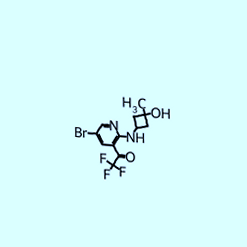 CC1(O)CC(Nc2ncc(Br)cc2C(=O)C(F)(F)F)C1